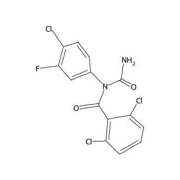 NC(=O)N(C(=O)c1c(Cl)cccc1Cl)c1ccc(Cl)c(F)c1